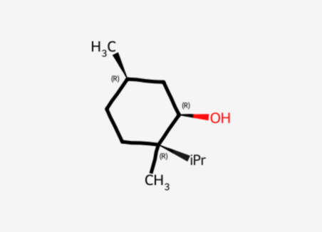 CC(C)[C@@]1(C)CC[C@@H](C)C[C@H]1O